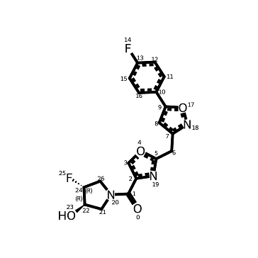 O=C(c1coc(Cc2cc(-c3ccc(F)cc3)on2)n1)N1C[C@@H](O)[C@H](F)C1